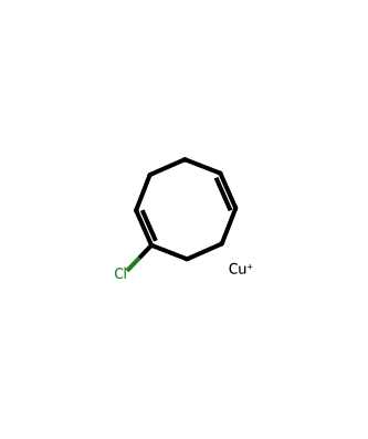 ClC1=CCCC=CCC1.[Cu+]